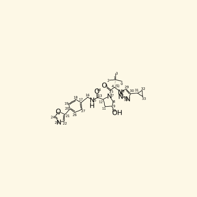 CC(C)(C)[C@@H](C(=O)N1CC(O)CC1C(=O)NCc1ccc(-c2cnco2)cc1)n1cc(C2CC2)nn1